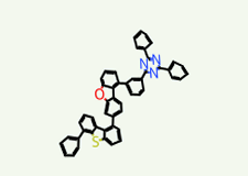 c1ccc(-c2nc(-c3ccccc3)nc(-c3cccc(-c4cccc5oc6cc(-c7cccc8sc9c(-c%10ccccc%10)cccc9c78)ccc6c45)c3)n2)cc1